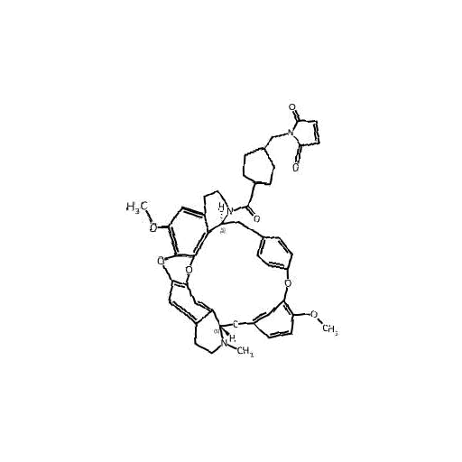 COc1ccc2cc1Oc1ccc(cc1)C[C@H]1c3c(cc(OC)c4c3Oc3cc5c(cc3O4)CCN(C)[C@H]5C2)CCN1C(=O)C1CCC(CN2C(=O)C=CC2=O)CC1